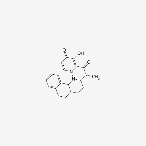 CN1C(=O)c2c(O)c(=O)ccn2N2C3c4ccccc4CCC3CCC12